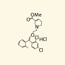 COC(=O)C1=CCCN(CCOC=C(c2ccccc2C)c2ccc(Cl)cc2Cl)C1.Cl